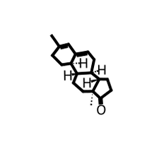 CC1=CC2=CC[C@@H]3[C@H](CC[C@]4(C)C(=O)CC[C@@H]34)[C@H]2CC1